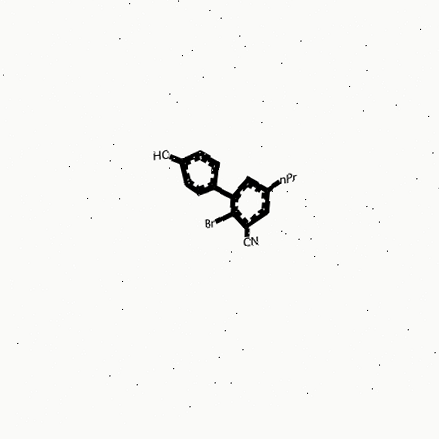 CCCc1cc(C#N)c(Br)c(-c2ccc(O)cc2)c1